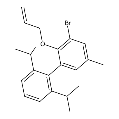 C=CCOc1c(Br)cc(C)cc1-c1c(C(C)C)cccc1C(C)C